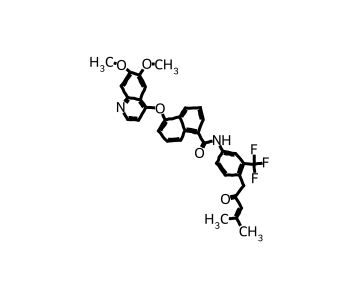 COc1cc2nccc(Oc3cccc4c(C(=O)Nc5ccc(CC(=O)C=C(C)C)c(C(F)(F)F)c5)cccc34)c2cc1OC